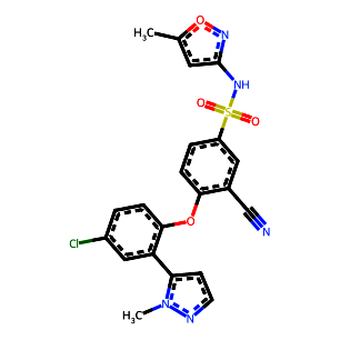 Cc1cc(NS(=O)(=O)c2ccc(Oc3ccc(Cl)cc3-c3ccnn3C)c(C#N)c2)no1